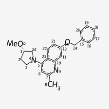 CO[C@H]1CCN(c2cc(C)nc3cc(OCc4ccccc4)ccc23)C1